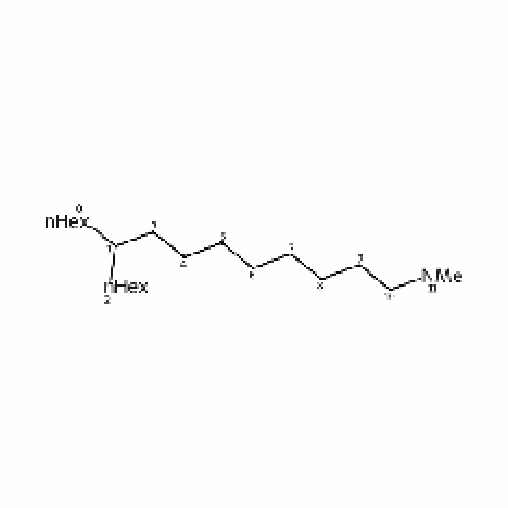 CCCCCCC(CCCCCC)CCCCCCCCNC